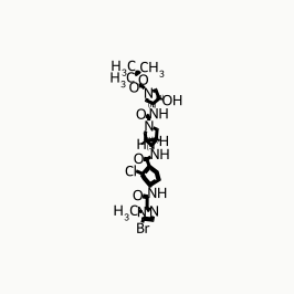 Cn1c(Br)cnc1C(=O)Nc1ccc(C(=O)N[C@H]2[C@@H]3CN(C(=O)N[C@@H]4CN(C(=O)OC(C)(C)C)C[C@H]4O)C[C@@H]32)c(Cl)c1